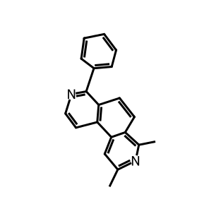 Cc1cc2c(ccc3c(-c4ccccc4)nccc32)c(C)n1